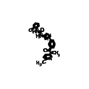 Cc1ccc(N(C)C(=O)c2cccc(-n3cc(NC(=O)Nc4ccccc4Cl)cn3)c2)cn1